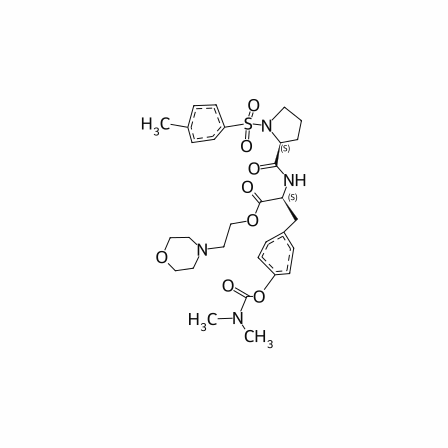 Cc1ccc(S(=O)(=O)N2CCC[C@H]2C(=O)N[C@@H](Cc2ccc(OC(=O)N(C)C)cc2)C(=O)OCCN2CCOCC2)cc1